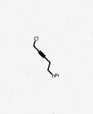 CCCCCC#CCCl